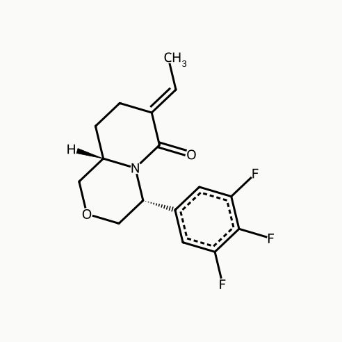 C/C=C1\CC[C@H]2COC[C@@H](c3cc(F)c(F)c(F)c3)N2C1=O